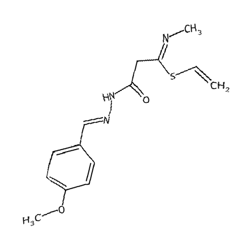 C=CS/C(CC(=O)N/N=C/c1ccc(OC)cc1)=N\C